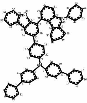 c1ccc(-c2ccc(N(c3ccc(-c4ccccc4)cc3)c3ccc(-c4cc(-c5cccc6c5c5ccccc5n6-c5ccccc5)c5oc6ccccc6c5c4)cc3)cc2)cc1